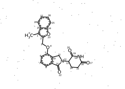 Cc1c(COc2cccc3c2CN(C2CCC(=O)NC2=O)C3=O)oc2ccccc12